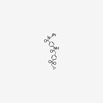 CC(C)CN(C)C(=O)c1ccc(NC(=O)Cc2ccc(S(=O)(=O)CC3CC3)cc2)cc1